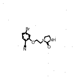 N#Cc1ccc(Br)cc1OCCN1CCNC1=O